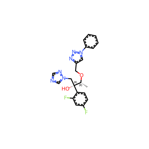 C[C@@H](OCc1cn(-c2ccccc2)nn1)[C@](O)(Cn1cncn1)c1ccc(F)cc1F